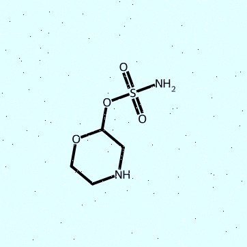 NS(=O)(=O)OC1CNCCO1